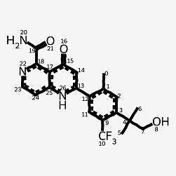 Cc1cc(C(C)(C)CO)c(C(F)(F)F)cc1-c1cc(=O)c2c(C(N)=O)nccc2[nH]1